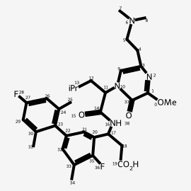 COc1nc(CCN(C)C)cn(C(CC(C)C)C(=O)NC(CC(=O)O)c2cc(-c3c(C)cc(F)cc3C)cc(C)c2F)c1=O